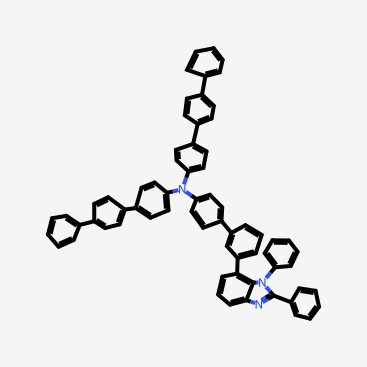 c1ccc(-c2ccc(-c3ccc(N(c4ccc(-c5ccc(-c6ccccc6)cc5)cc4)c4ccc(-c5cccc(-c6cccc7nc(-c8ccccc8)n(-c8ccccc8)c67)c5)cc4)cc3)cc2)cc1